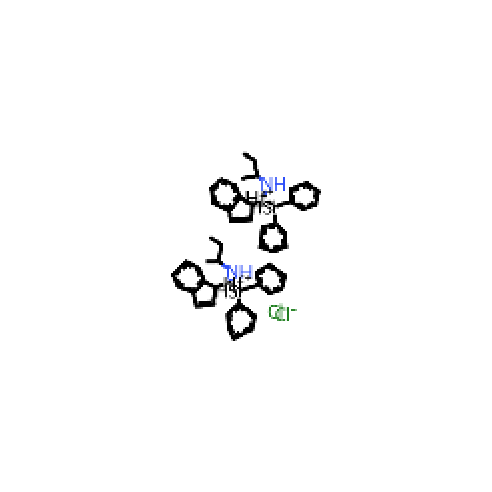 CCC(C)[NH][Hf+]([CH]1C=Cc2ccccc21)[SiH](c1ccccc1)c1ccccc1.CCC(C)[NH][Hf+]([CH]1C=Cc2ccccc21)[SiH](c1ccccc1)c1ccccc1.[Cl-].[Cl-]